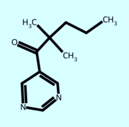 CCCC(C)(C)C(=O)c1cncnc1